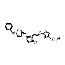 O=C(O)c1csc(SCCN2C(=O)CC[C@@H]2CN2CCN(Cc3ccccc3)CC2)n1